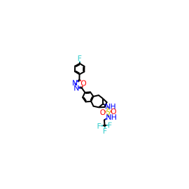 O=S(=O)(NCC(F)(F)F)NC1C2CCC1Cc1cc(-c3nnc(-c4ccc(F)cc4)o3)ccc1C2